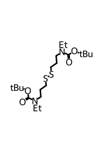 CCN(CCCSSCCCN(CC)C(=O)OC(C)(C)C)C(=O)OC(C)(C)C